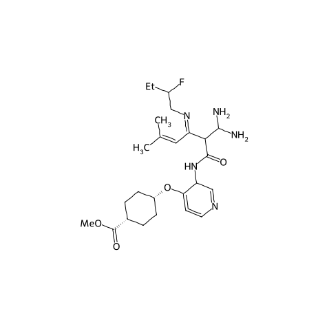 CCC(F)C/N=C(\C=C(C)C)C(C(=O)NC1C=NC=C=C1O[C@H]1CC[C@@H](C(=O)OC)CC1)C(N)N